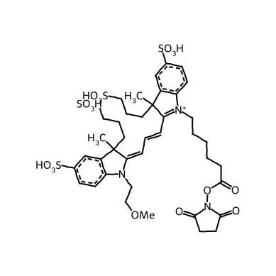 COCCN1/C(=C/C=C/C2=[N+](CCCCCC(=O)ON3C(=O)CCC3=O)c3ccc(S(=O)(=O)O)cc3C2(C)CCCS(=O)(=O)O)C(C)(CCCS(=O)(=O)O)c2cc(S(=O)(=O)O)ccc21